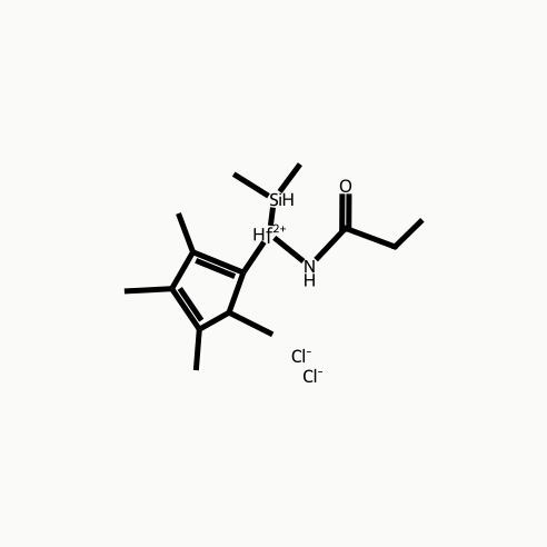 CCC(=O)[NH][Hf+2]([C]1=C(C)C(C)=C(C)C1C)[SiH](C)C.[Cl-].[Cl-]